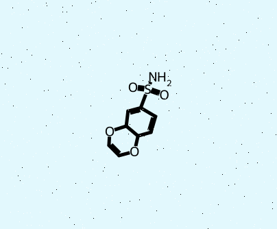 NS(=O)(=O)C1=CC2OC=COC2C=C1